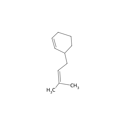 CC(C)=CCC1C=CCCC1